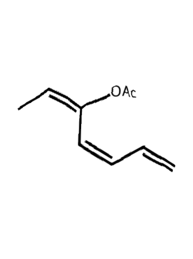 C=C/C=C\C(=C/C)OC(C)=O